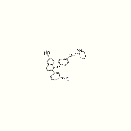 Cl.Oc1ccc2c(Oc3ccc(OCCC4CCCCN4)cc3)c(-c3cccc(F)c3)ccc2c1